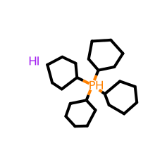 C1CCC([PH](C2CCCCC2)(C2CCCCC2)C2CCCCC2)CC1.I